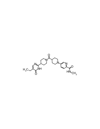 CCc1cnc(C2CCN(C(=O)C3CCN(c4ccc(C(=O)NC)nc4)CC3)CC2)[nH]c1=O